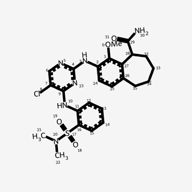 COc1c(Nc2ncc(Cl)c(Nc3ccccc3S(=O)(=O)N(C)C)n2)ccc2c1C(C(N)=O)CC[CH]C2